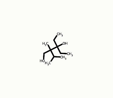 CCC(O)(CC)C(C)(CO)C(C)C